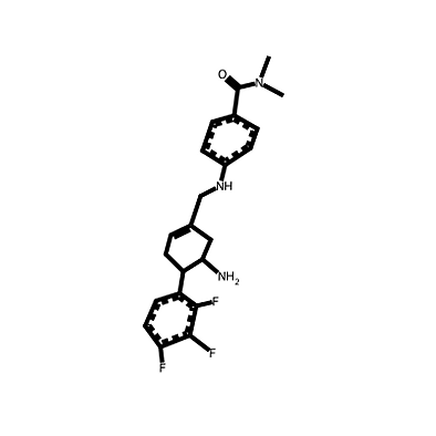 CN(C)C(=O)c1ccc(NCC2=CCC(c3ccc(F)c(F)c3F)C(N)C2)cc1